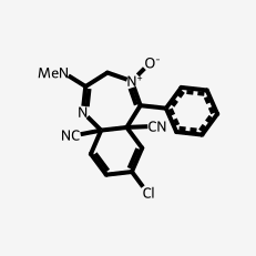 CNC1=NC2(C#N)C=CC(Cl)=CC2(C#N)C(c2ccccc2)=[N+]([O-])C1